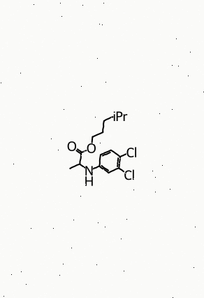 CC(C)CCCOC(=O)C(C)Nc1ccc(Cl)c(Cl)c1